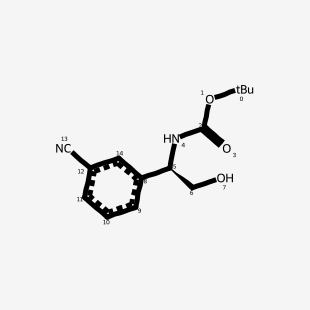 CC(C)(C)OC(=O)N[C@@H](CO)c1cccc(C#N)c1